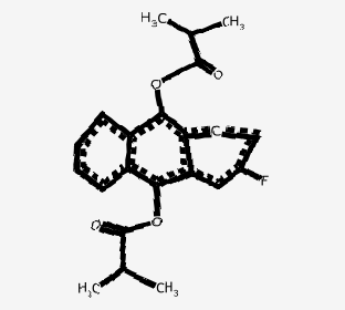 CC(C)C(=O)Oc1c2ccccc2c(OC(=O)C(C)C)c2cc(F)ccc12